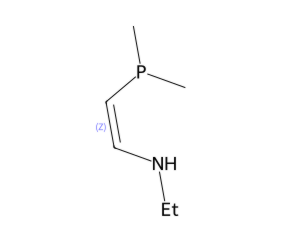 CCN/C=C\P(C)C